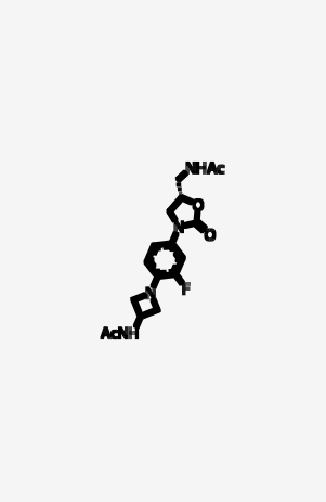 CC(=O)NC[C@H]1CN(c2ccc(N3CC(NC(C)=O)C3)c(F)c2)C(=O)O1